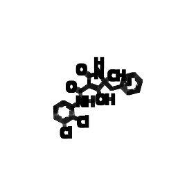 CC1(Cc2ccccc2)NC(=O)C(C(=O)Nc2cccc(Cl)c2Cl)=C1O